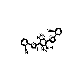 N#Cc1ccccc1-c1ccc(-c2c3c(c(-c4ccc(-c5ccccc5C#N)s4)c4nsnc24)NSN3)s1